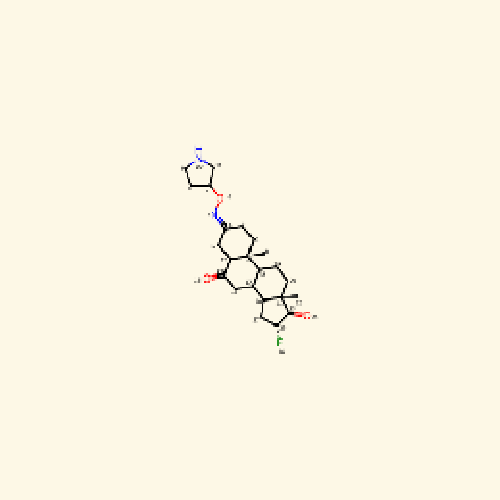 C[C@]12CCC(=NOC3CCNC3)CC1C(=O)CC1C2CC[C@]2(C)C(=O)[C@H](F)CC12